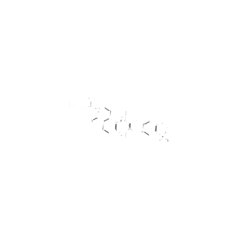 CC(CO)n1ccc2c(NC(=O)Cc3ccc(C(F)(F)F)c(F)c3)c(Cl)ccc2c1=O